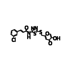 O=C(/C=C/c1cccc(Cl)c1)Nc1nnc(SCc2cc(=O)c(O)co2)s1